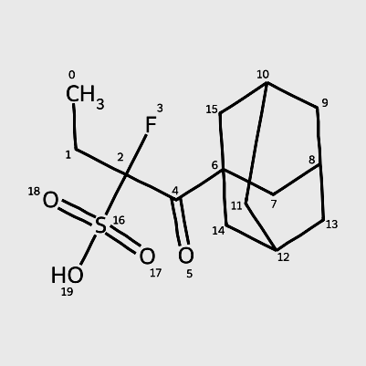 CCC(F)(C(=O)C12CC3CC(CC(C3)C1)C2)S(=O)(=O)O